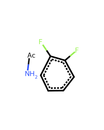 CC(N)=O.Fc1ccccc1F